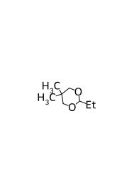 CCC1OCC(C)(C)CO1